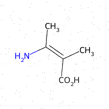 CC(N)=C(C)C(=O)O